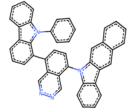 c1ccc(-n2c3ccccc3c3cccc(-c4ccc(-n5c6ccccc6c6cc7ccccc7cc65)c5cnncc45)c32)cc1